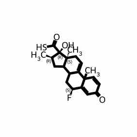 C[C@@H]1CC2C3C[C@H](F)C4=CC(=O)C=CC4(C)C3=CC[C@]2(C)[C@@]1(O)C(=O)S